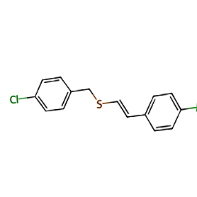 Fc1ccc(/C=C/SCc2ccc(Cl)cc2)cc1